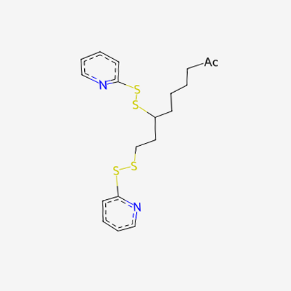 CC(=O)CCCCC(CCSSc1ccccn1)SSc1ccccn1